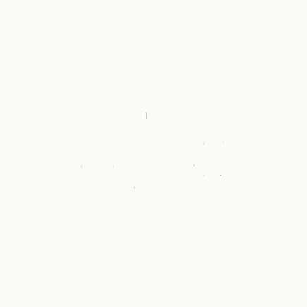 BC1CC(CCC)C(OC)C1OC(=O)c1ccccc1